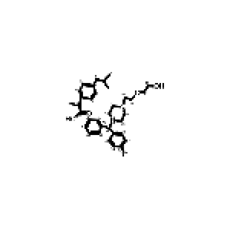 CC(C)Cc1ccc(C(C)C(=O)O)cc1.OCCOCCN1CCN(C(c2ccccc2)c2ccc(Cl)cc2)CC1